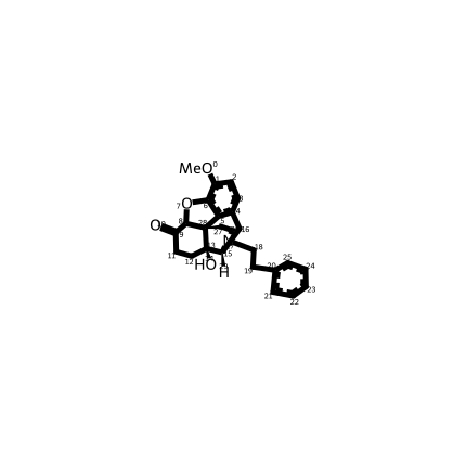 COc1ccc2c3c1OC1C(=O)CC[C@@]4(O)[C@@H](C2)N(CCc2ccccc2)CC[C@]314